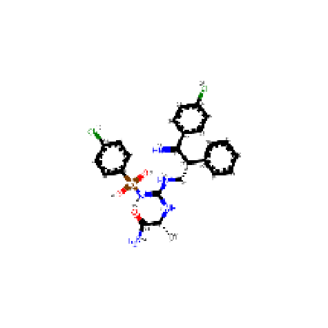 CC(C)[C@@H](N/C(=N/S(=O)(=O)c1ccc(Cl)cc1)NC[C@H](C(=N)c1ccc(Cl)cc1)c1ccccc1)C(N)=O